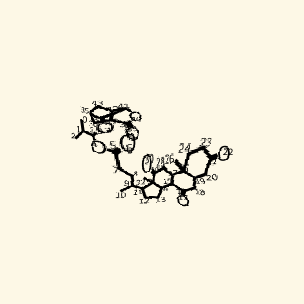 CC(C)C(OC(=O)CCC(C)C1CCC2C3C(=O)CC4CC(=O)CCC4(C)C3CC(=O)C12C)OC1C2CC3C(=O)OC1C3C2